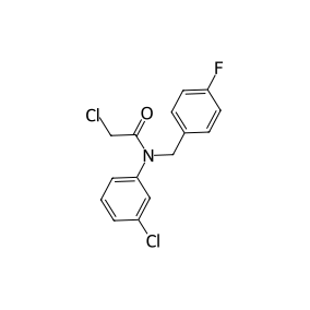 O=C(CCl)N(Cc1ccc(F)cc1)c1cccc(Cl)c1